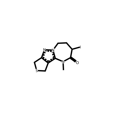 CN1C(=O)C(I)CCn2nc3c(c21)CSC3